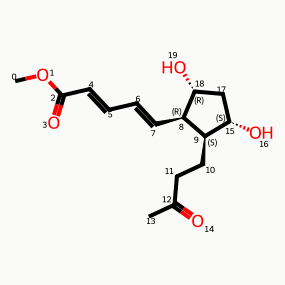 COC(=O)C=CC=C[C@@H]1[C@H](CCC(C)=O)[C@@H](O)C[C@H]1O